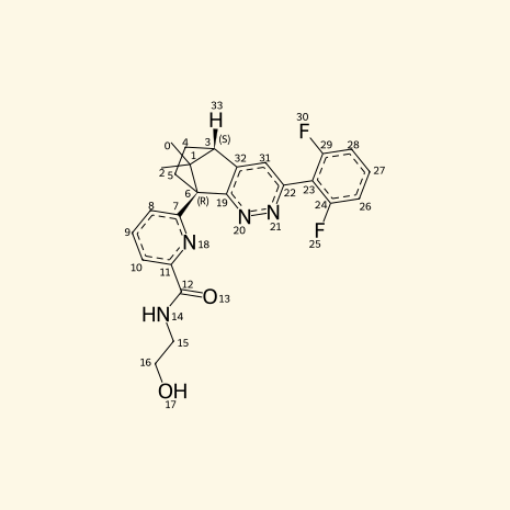 CC1(C)[C@@H]2CC[C@@]1(c1cccc(C(=O)NCCO)n1)c1nnc(-c3c(F)cccc3F)cc12